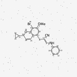 COc1cc(C/C(C#N)=C/Nc2ccccc2)c2c(c1Br)OC(C1CC1)C=C2